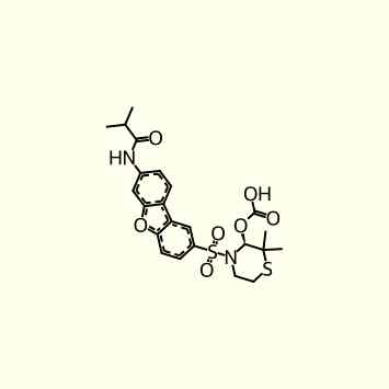 CC(C)C(=O)Nc1ccc2c(c1)oc1ccc(S(=O)(=O)N3CCSC(C)(C)[C@@H]3OC(=O)O)cc12